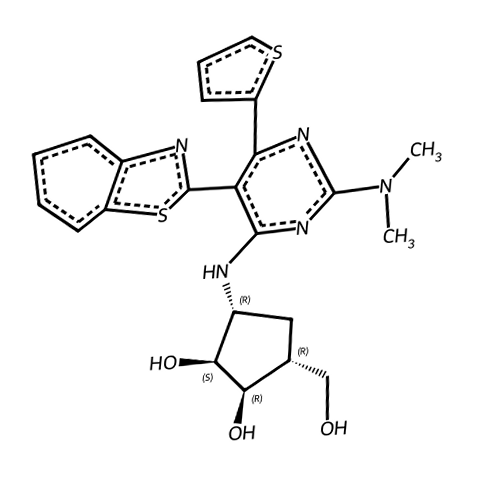 CN(C)c1nc(N[C@@H]2C[C@H](CO)[C@@H](O)[C@H]2O)c(-c2nc3ccccc3s2)c(-c2cccs2)n1